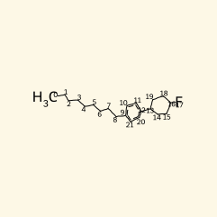 CCCCCCCCCc1ccc(C2CCC(F)CC2)cc1